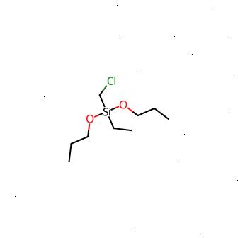 CCCO[Si](CC)(CCl)OCCC